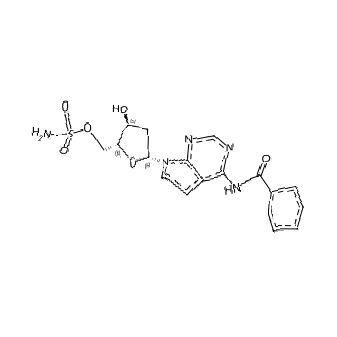 NS(=O)(=O)OC[C@H]1O[C@@H](n2ccc3c(NC(=O)c4ccccc4)ncnc32)C[C@@H]1O